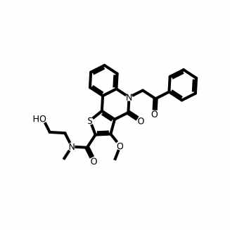 COc1c(C(=O)N(C)CCO)sc2c1c(=O)n(CC(=O)c1ccccc1)c1ccccc21